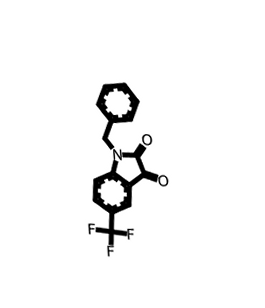 O=C1C(=O)N(Cc2ccccc2)c2ccc(C(F)(F)F)cc21